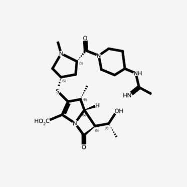 CC(=N)NC1CCN(C(=O)[C@@H]2C[C@H](SC3=C(C(=O)O)N4C(=O)[C@H]([C@@H](C)O)[C@H]4[C@H]3C)CN2C)CC1